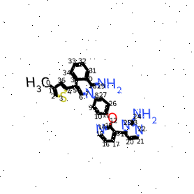 Cc1csc(C2=CN(c3ccc(Oc4ncccc4-c4ccnc(N)n4)cc3)C(N)c3ccccc32)c1